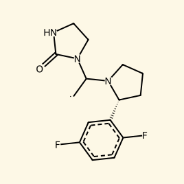 [CH2]C(N1CCNC1=O)N1CCC[C@@H]1c1cc(F)ccc1F